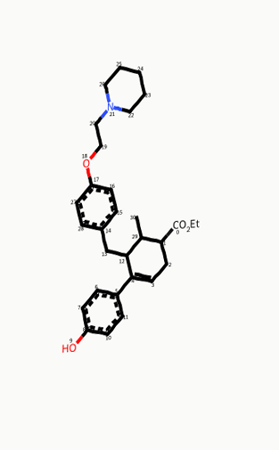 CCOC(=O)C1CC=C(c2ccc(O)cc2)C(Cc2ccc(OCCN3CCCCC3)cc2)C1C